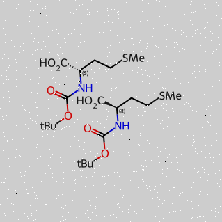 CSCC[C@@H](NC(=O)OC(C)(C)C)C(=O)O.CSCC[C@H](NC(=O)OC(C)(C)C)C(=O)O